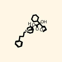 O=C(O[C@H]1C[N+]2(CCCc3ccccc3)CCC1CC2)[C@](O)(c1ccco1)C1CCCCC1